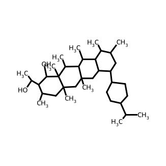 CC(C)C1CCC(C2CC(C)C(C)C3C(C)C4C(C)C5(C)C(O)C(C(C)O)C(C)CC5(C)CC4(C)CC23)CC1